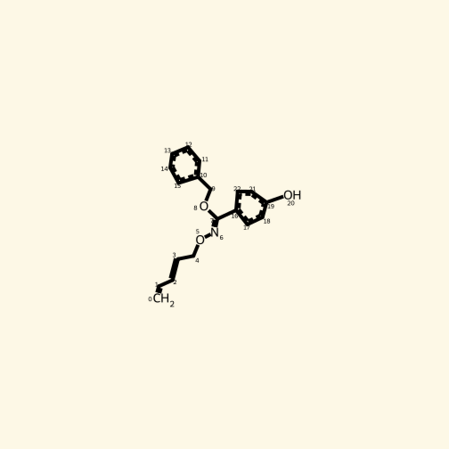 C=C/C=C/CO/N=C(\OCc1ccccc1)c1ccc(O)cc1